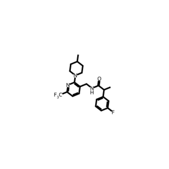 CC1CCN(c2nc(C(F)(F)F)ccc2CNC(=O)C(C)c2cccc(F)c2)CC1